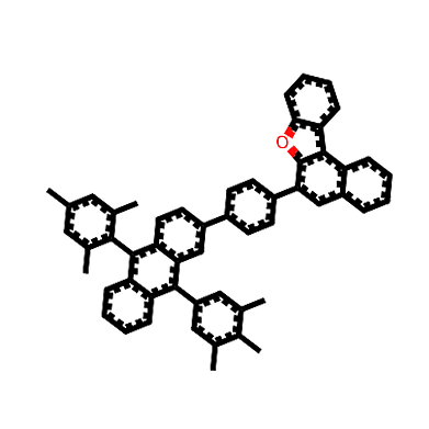 Cc1cc(C)c(-c2c3ccccc3c(-c3cc(C)c(C)c(C)c3)c3cc(-c4ccc(-c5cc6ccccc6c6c5oc5ccccc56)cc4)ccc23)c(C)c1